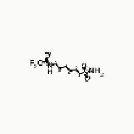 NS(=O)(=O)CCCCCCNC(=O)C(F)(F)F